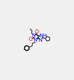 CCCn1c(=O)c2[nH]c(C3CCCC3)nc2n(CCCc2ccccc2)c1=O